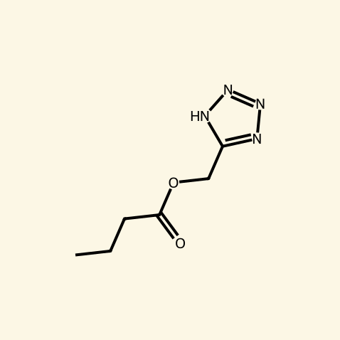 CCCC(=O)OCc1nnn[nH]1